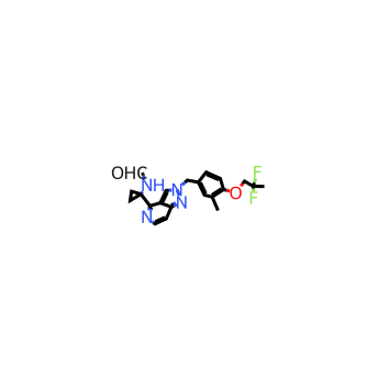 Cc1cc(Cn2cc3c(C4(NC=O)CC4)nccc3n2)ccc1OCC(C)(F)F